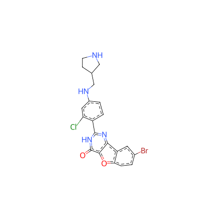 O=c1[nH]c(-c2ccc(NCC3CCNC3)cc2Cl)nc2c1oc1ccc(Br)cc12